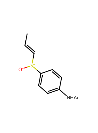 C/C=C/[S+]([O-])c1ccc(NC(C)=O)cc1